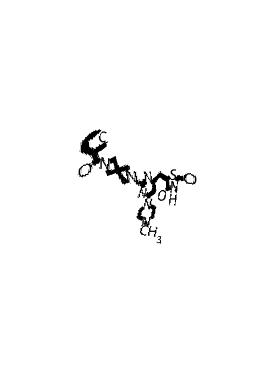 CN1CCN(c2cc(/C=C3/SC(=O)NC3=O)nc(N3CC4(CN(C(=O)c5ccccc5)C4)C3)n2)CC1